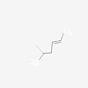 CC(CC=CC(F)(F)F)C(=O)O